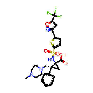 CN1CCN(C[C@@]2(c3ccccc3)C[C@]2(NS(=O)(=O)c2ccc(-c3cc(C(F)(F)F)on3)s2)C(=O)O)CC1